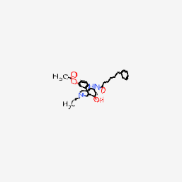 C=CCN1CCC2(c3cccc(OC(C)=O)c3)CC(NC(=O)CCCCCc3ccccc3)CC(O)C2C1